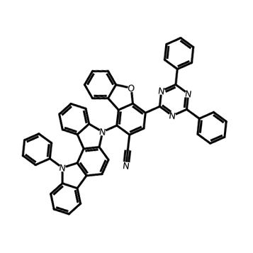 N#Cc1cc(-c2nc(-c3ccccc3)nc(-c3ccccc3)n2)c2oc3ccccc3c2c1-n1c2ccccc2c2c1ccc1c3ccccc3n(-c3ccccc3)c12